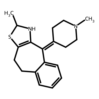 CC1NC2=C(CCc3ccccc3C2=C2CCN(C)CC2)S1